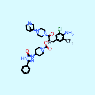 Nc1c(Cl)cc(C[C@@H](OC(=O)N2CCC(n3nc(-c4ccccc4)[nH]c3=O)CC2)C(=O)N2CCN(C3CN4CCC3CC4)CC2)cc1C(F)(F)F